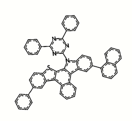 c1ccc(-c2ccc3sc4c(c3c2)c2ccccc2c2c3cc(-c5cccc6ccccc56)ccc3n(-c3nc(-c5ccccc5)nc(-c5ccccc5)n3)c42)cc1